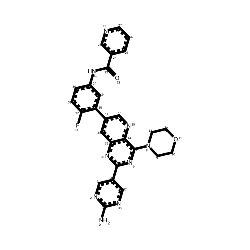 Nc1ncc(-c2nc(N3CCOCC3)c3ncc(-c4cc(NC(=O)c5cccnc5)ccc4F)cc3n2)cn1